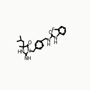 CC(C)CC1(C)NC(=N)N(Cc2ccc(CNC(=O)Nc3ccccc3F)cc2)C1=O